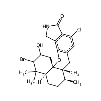 C[C@H]1CC[C@H]2C(C)(C)C(Br)C(O)C[C@]23Oc2c(cc(Cl)c4c2CNC4=O)C[C@]13C